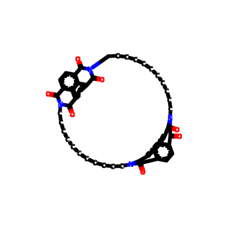 O=C1c2ccc3c4c5ccc(c24)C(=O)N1CCCCCCCCCCCN1C(=O)c2ccc4c6c(ccc(c26)C1=O)C(=O)N(CCCCCCCCCCCN(C3=O)C5=O)C4=O